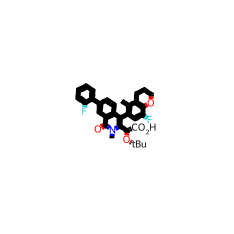 Cc1c(-c2c(C(OC(C)(C)C)C(=O)O)n(C)c(=O)c3cc(-c4ccccc4F)ccc23)cc(F)c2c1CCCO2